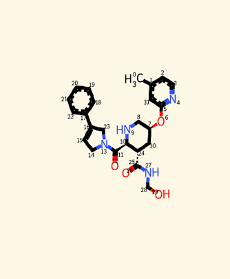 Cc1ccnc(O[C@@H]2CN[C@H](C(=O)N3CC=C(c4ccccc4)C3)[C@@H](C(=O)NCO)C2)c1